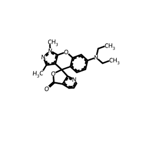 CCN(CC)c1ccc2c(c1)Oc1c(c(C)nn1C)C21OC(=O)c2cccnc21